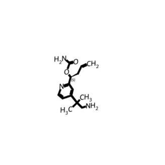 C=CC[C@H](OC(N)=O)c1cc(C(C)(C)CN)ccn1